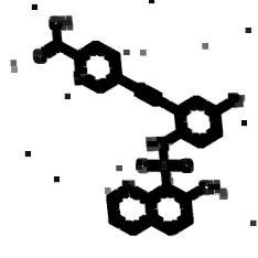 Cc1ccc2cccnc2c1S(=O)(=O)Nc1ccc(Br)cc1C#Cc1ccc(C(=O)O)nc1